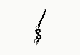 CCCCCCCCCCCCO[C@H]1CC[C@H]([C@H]2CC[C@H](C=C(F)F)CC2)CC1